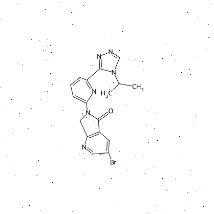 CC(C)n1cnnc1-c1cccc(N2Cc3ncc(Br)cc3C2=O)n1